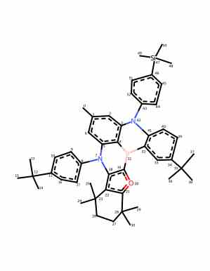 Cc1cc2c3c(c1)N(c1ccc(C(C)(C)C)cc1)c1c(oc4c1C(C)(C)CCC4(C)C)B3c1cc(C(C)(C)C)ccc1N2c1ccc([Si](C)(C)C)cc1